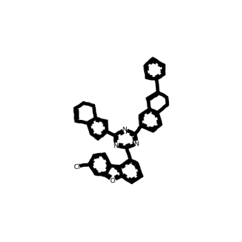 Clc1ccc2c(c1)oc1cccc(-c3nc(-c4ccc5c(c4)C=C(c4ccccc4)CC5)nc(-c4ccc5c(c4)CCC=C5)n3)c12